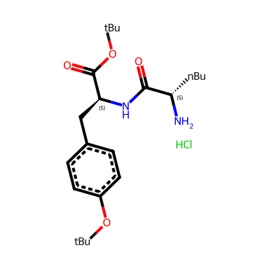 CCCC[C@H](N)C(=O)N[C@@H](Cc1ccc(OC(C)(C)C)cc1)C(=O)OC(C)(C)C.Cl